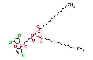 CCCCCCCCCCCCCCCC(=O)OCC(COC(=O)CCCCCCCCCCCCCCC)OC(=O)CCCC(=O)Oc1cc(Cl)ccc1Oc1ccc(Cl)cc1Cl